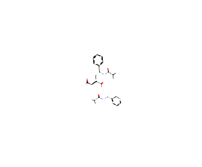 CC(C)C(=O)N[C@@H](CC(=CC(=O)O)C(=O)OC[C@@H](NC(=O)C(C)C)c1ccccc1)c1ccccc1